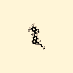 COCCNC(=O)c1cccc2cc(Nc3ncnc4cc(OC)c(OC)cc34)ccc12